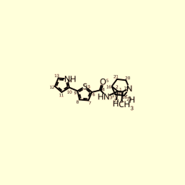 C[C@H]1[C@H](NC(=O)c2ccc(-c3ccc[nH]3)s2)C2CCN1CC2